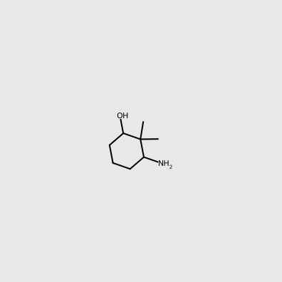 CC1(C)C(N)CCCC1O